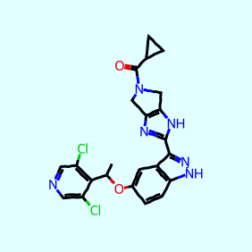 CC(Oc1ccc2[nH]nc(-c3nc4c([nH]3)CN(C(=O)C3CC3)C4)c2c1)c1c(Cl)cncc1Cl